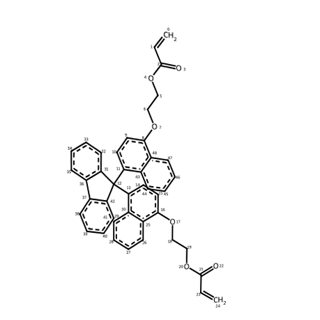 C=CC(=O)OCCOc1ccc(C2(c3ccc(OCCOC(=O)C=C)c4ccccc34)c3ccccc3-c3ccccc32)c2ccccc12